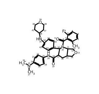 Cc1cccc(F)c1C(=O)N1C2COCC2CC(C(=O)Nc2ccc(N(C)C)cc2)C1c1ccc(NC2CCOCC2)cc1